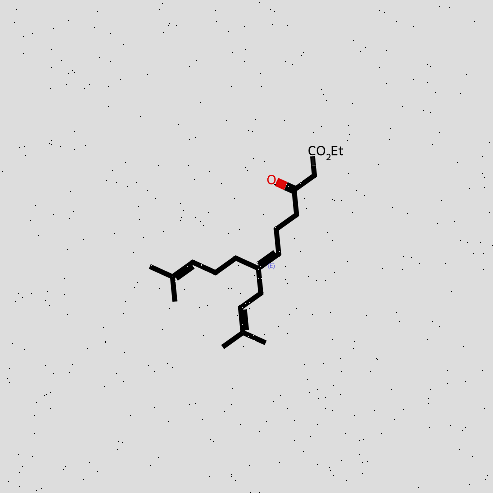 CCOC(=O)CC(=O)CC/C=C(/CC=C(C)C)CCC=C(C)C